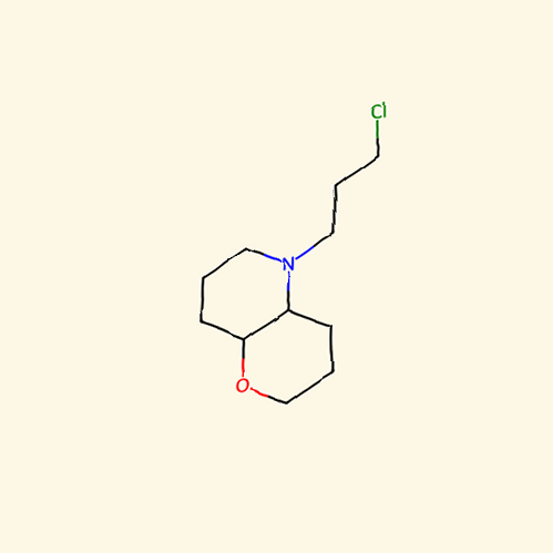 ClCCCN1CCCC2OCCCC21